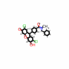 CN(Cc1ccccc1)C(=O)c1ccc(-c2c3cc(Cl)c(=O)cc-3oc3cc(O)c(Cl)cc23)cc1